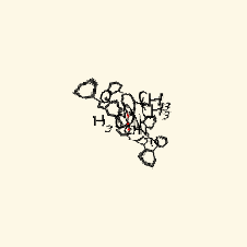 CC(C)c1cc(-c2ccccc2)cc(C(C)C)c1-n1c2[n+](c3ccccc31)C1=C(Cc3ccc4c(oc5cc6oc(-c7ccccc7)cc6cc54)c3-2)C2c3ccccc3-c3cccc[n+]3C12